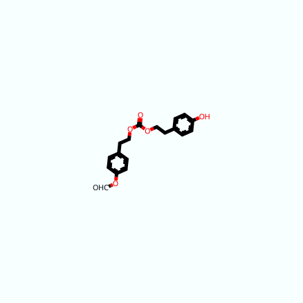 O=COc1ccc(CCOC(=O)OCCc2ccc(O)cc2)cc1